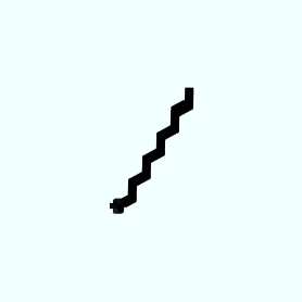 CC=CCCCCCCC[S]